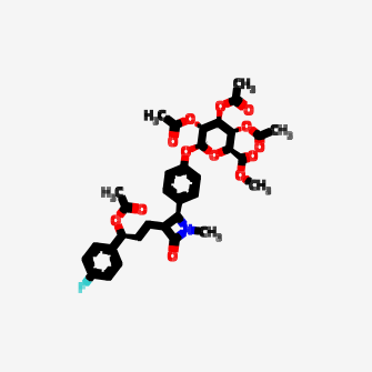 COC(=O)[C@H]1O[C@@H](Oc2ccc([C@@H]3C(CC[C@H](OC(C)=O)c4ccc(F)cc4)C(=O)N3C)cc2)[C@H](OC(C)=O)[C@@H](OC(C)=O)[C@@H]1OC(C)=O